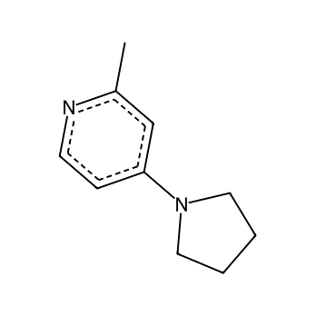 Cc1cc(N2CCCC2)ccn1